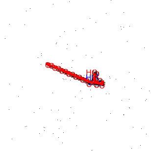 COCCOCCOCCOCCOCCOCCOCCOCCOCCOCCOCCOCCC(=O)N1CC(CNC(=O)CCN2C(=O)C=CC2=O)(OCC(=O)NCCC(=O)O)C1